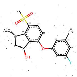 CC(=O)O[C@@H]1C[C@H](O)c2c(Oc3cc(F)cc(C#N)c3)ccc(S(C)(=O)=O)c21